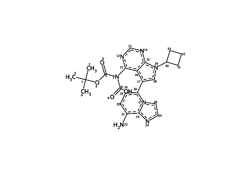 CC(C)(C)OC(=O)N(C(=O)O)c1ncnc2c1c(-c1ccc(N)c3nccn13)cn2C1CCC1